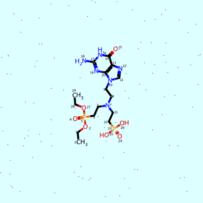 CCOP(=O)(CCN(CCn1cnc2c(=O)[nH]c(N)nc21)CCP(=O)(O)O)OCC